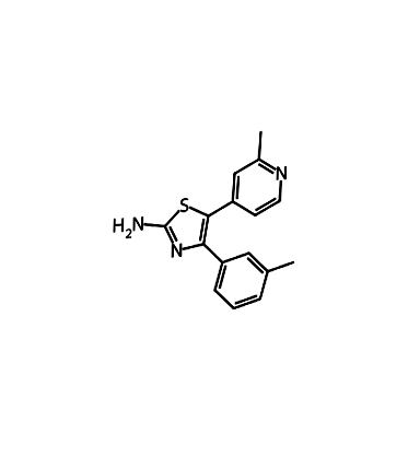 Cc1cccc(-c2nc(N)sc2-c2ccnc(C)c2)c1